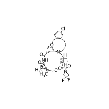 C[C@@H]1[C@@H](C)CCC[C@@H](C(=O)N2CC(F)(F)C2)[C@@H]2CC[C@H]2CN2CCCCc3cc(Cl)ccc3COc3ccc(cc32)C(=O)NS1(=O)=O